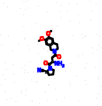 COc1cc2c(cc1OC)CN(C(=O)CC(N)C(=O)N1CCC[C@H]1C#N)CC2